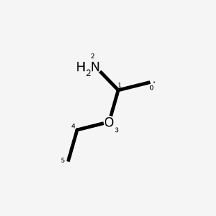 [CH2]C(N)OCC